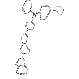 c1ccc(-c2ccc(N(c3ccccc3)c3ccc(-c4ccc5cc(-c6ccc7ccccc7c6)ccc5c4)cc3)cc2)cc1